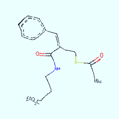 CCOC(=O)CCNC(=O)/C(=C\c1ccccc1)CSC(=O)C(C)(C)C